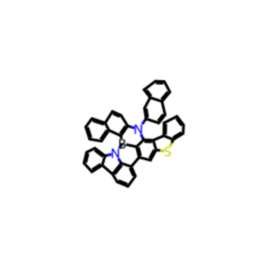 c1ccc2cc(N3c4ccc5ccccc5c4B4c5c(cc6sc7ccccc7c6c53)-c3cccc5c6ccccc6n4c35)ccc2c1